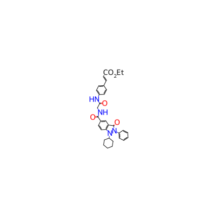 CCOC(=O)/C=C/c1ccc(NC(=O)CNC(=O)c2ccc3c(c2)c(=O)n(-c2ccccc2)n3C2CCCCC2)cc1